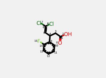 O=C(O)CC(C=C(Cl)Cl)c1ccccc1F